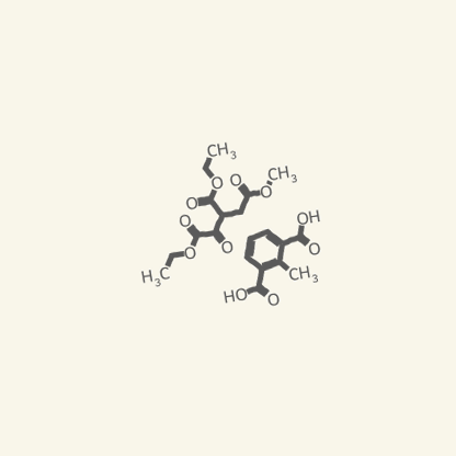 CCOC(=O)C(=O)C(CC(=O)OC)C(=O)OCC.Cc1c(C(=O)O)cccc1C(=O)O